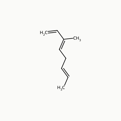 C=CC(C)=CCC=CC